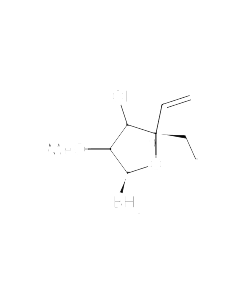 B[C@@H]1O[C@](C=C)(CI)C(O)C1OC